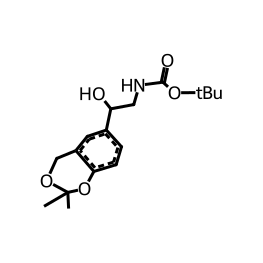 CC(C)(C)OC(=O)NCC(O)c1ccc2c(c1)COC(C)(C)O2